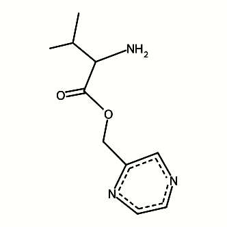 CC(C)C(N)C(=O)OCc1cnccn1